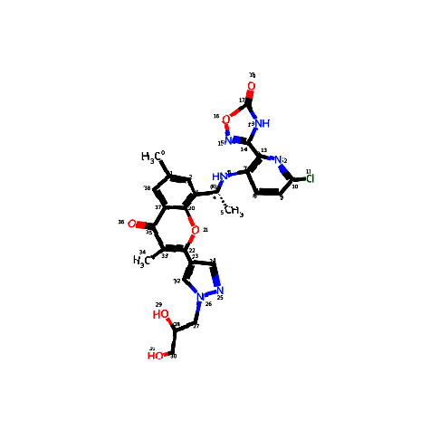 Cc1cc([C@@H](C)Nc2ccc(Cl)nc2-c2noc(=O)[nH]2)c2oc(-c3cnn(CC(O)CO)c3)c(C)c(=O)c2c1